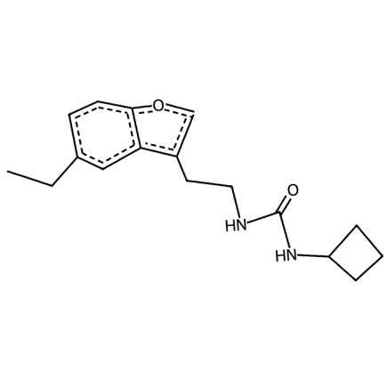 CCc1ccc2occ(CCNC(=O)NC3CCC3)c2c1